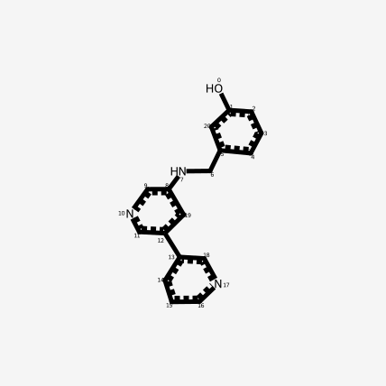 Oc1cccc(CNc2cncc(-c3cccnc3)c2)c1